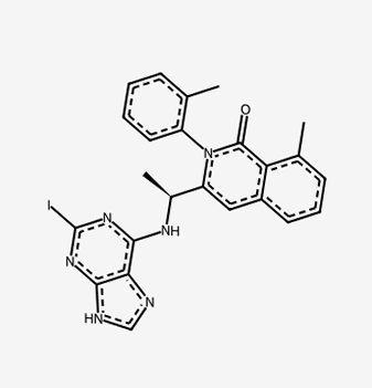 Cc1ccccc1-n1c([C@H](C)Nc2nc(I)nc3[nH]cnc23)cc2cccc(C)c2c1=O